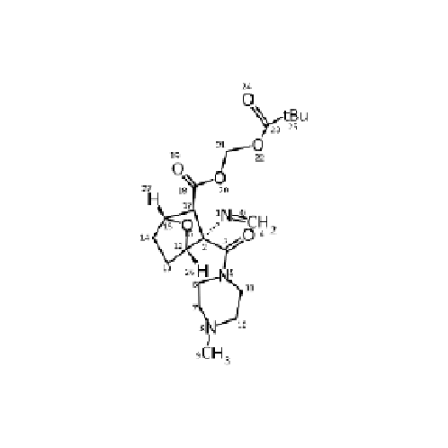 C=N[C@]1(C(=O)N2CCN(C)CC2)[C@@H]2CC[C@@H](O2)[C@H]1C(=O)OCOC(=O)C(C)(C)C